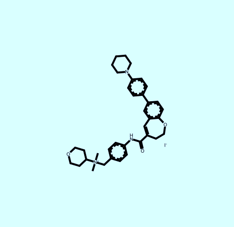 C[N+](C)(Cc1ccc(NC(=O)C2=Cc3cc(-c4ccc(N5CCCCC5)cc4)ccc3OCC2)cc1)C1CCOCC1.[I-]